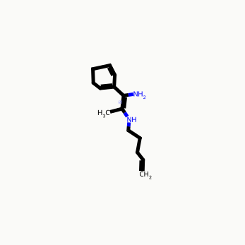 C=CCCCN/C(C)=C(\N)C1=CCCC=C1